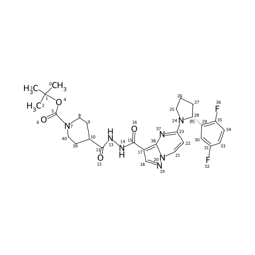 CC(C)(C)OC(=O)N1CCC(C(=O)NNC(=O)c2cnn3ccc(N4CCC[C@@H]4c4cc(F)ccc4F)nc23)CC1